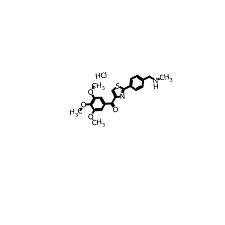 CNCc1ccc(-c2nc(C(=O)c3cc(OC)c(OC)c(OC)c3)cs2)cc1.Cl